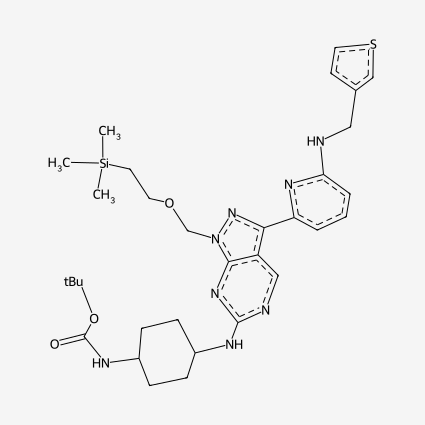 CC(C)(C)OC(=O)NC1CCC(Nc2ncc3c(-c4cccc(NCc5ccsc5)n4)nn(COCC[Si](C)(C)C)c3n2)CC1